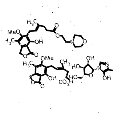 COc1c(C)c2c(c(O)c1C/C=C(\C)CCC(=O)O)C(=O)OC2.COc1c(C)c2c(c(O)c1C/C=C(\C)CCC(=O)OCCN1CCOCC1)C(=O)OC2.NC(=O)c1ncn([C@@H]2O[C@H](CO)[C@@H](O)[C@H]2O)c1O